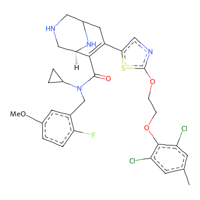 COc1ccc(F)c(CN(C(=O)C2=C(c3cnc(OCCOc4c(Cl)cc(C)cc4Cl)s3)CC3CNC[C@H]2N3)C2CC2)c1